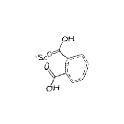 O=C(O)c1ccccc1C(=O)O.[Sc]